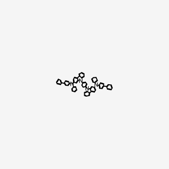 C1=CC(N(c2ccc(-c3ccccc3)cc2)c2ccc3c4ccccc4n(C4=CC=C(n5c6ccccc6c6ccc(N(c7ccccc7)c7ccc(-c8ccccc8)cc7)cc65)CC4)c3c2)=CCC1